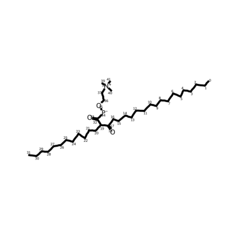 CCCCCCCCCCCCCCCCCC(=O)C(CCCCCCCCCCCC)C(=O)[P-]OCC[N+](C)(C)C